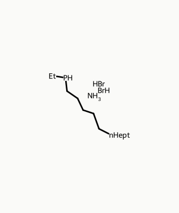 Br.Br.CCCCCCCCCCCCPCC.N